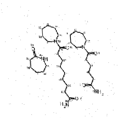 NC(=O)CCCCC(=O)N1CCCCCC1.NC(=O)CCCCCCCC(=O)N1CCCCCC1.O=C1CCCCCN1